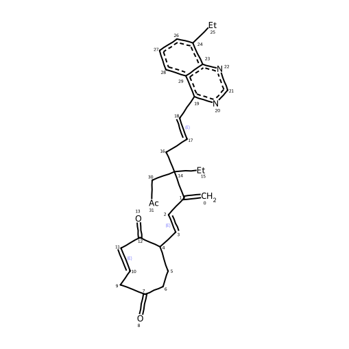 C=C(/C=C/C1CCC(=O)C/C=C/C1=O)C(CC)(C/C=C/c1ncnc2c(CC)cccc12)CC(C)=O